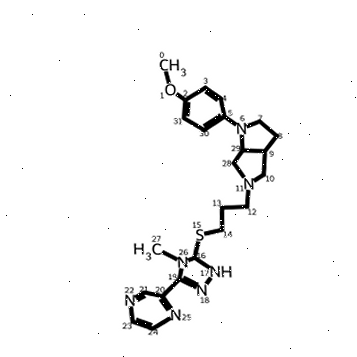 COc1ccc(N2CCC3CN(CCCSC4NN=C(c5cnccn5)N4C)CC32)cc1